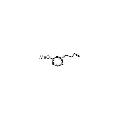 C=CC[CH]c1cccc(OC)c1